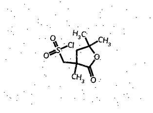 CC1(C)CC(C)(CS(=O)(=O)Cl)C(=O)O1